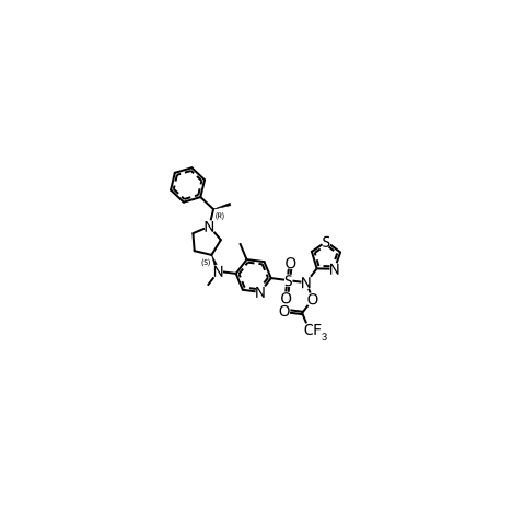 Cc1cc(S(=O)(=O)N(OC(=O)C(F)(F)F)c2cscn2)ncc1N(C)[C@H]1CCN([C@H](C)c2ccccc2)C1